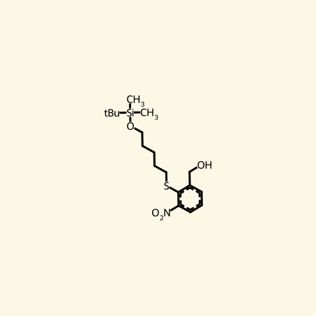 CC(C)(C)[Si](C)(C)OCCCCCSc1c(CO)cccc1[N+](=O)[O-]